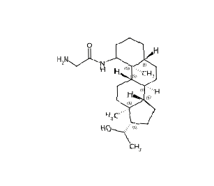 CC(O)[C@H]1CC[C@H]2[C@@H]3CC[C@H]4CCCC(NC(=O)CN)[C@]4(C)[C@H]3CC[C@]12C